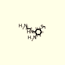 CSc1ccc(N)c(NCCN)c1